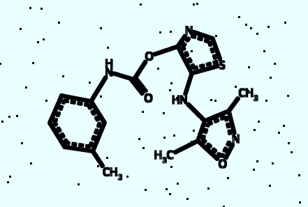 Cc1cccc(NC(=O)Oc2ncsc2Nc2c(C)noc2C)c1